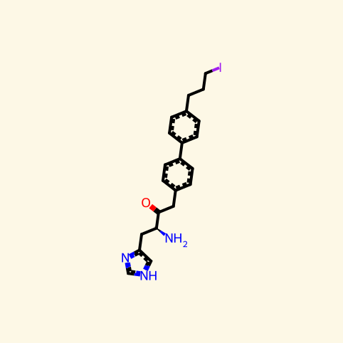 N[C@@H](Cc1c[nH]cn1)C(=O)Cc1ccc(-c2ccc(CCCI)cc2)cc1